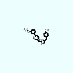 N#Cc1ccc(Cc2cnc(Cc3ccc(-c4cccc(OC(F)(F)F)c4)nc3)[nH]2)cc1